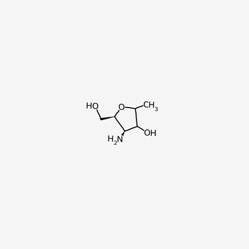 CC1O[C@H](CO)[C@H](N)C1O